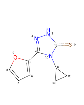 S=c1[nH]nc(-c2ccco2)n1C1CC1